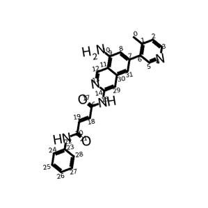 Cc1ccncc1-c1cc(N)c2cnc(NC(=O)/C=C/C(=O)Nc3ccccc3)cc2c1